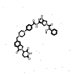 CO[C@@H](C(=O)N1Cc2[nH]nc(NC(=O)c3ccc(N4CCN(Cc5ccc6c(c5)CN(C5CCC(=O)NC5=O)C6=O)CC4)cc3)c2C1)c1ccccc1